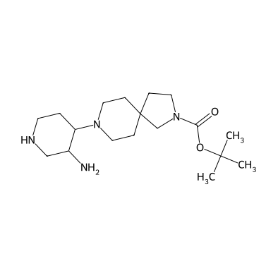 CC(C)(C)OC(=O)N1CCC2(CCN(C3CCNCC3N)CC2)C1